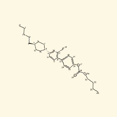 CCCCC[C@H]1CC[C@H](c2ccc(-c3ccc(OC(=O)OCCCC)cc3)c(F)c2)CC1